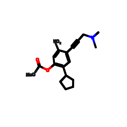 COC(=O)Oc1cc([N+](=O)[O-])c(C#CCN(C)C)cc1C1CCCC1